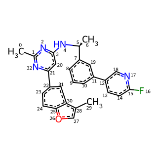 Cc1nc(N[C@@H](C)c2cccc(-c3ccc(F)nc3)c2)cc(-c2ccc3occ(C)c3c2)n1